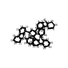 C1=Cc2c(sc3ccc(-c4cc(-c5cccc6c7ccccc7n(-c7ccccc7)c56)nc(-c5cccc6c7ccccc7n(-c7ccccc7)c56)c4)cc23)CC1